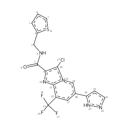 O=C(NCc1cccs1)c1nc2c(C(F)(F)F)cc(-c3ccn[nH]3)cn2c1Cl